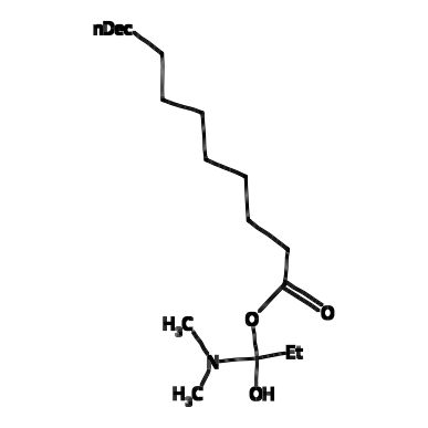 CCCCCCCCCCCCCCCCCC(=O)OC(O)(CC)N(C)C